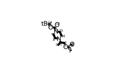 CC(COS(C)=O)N1CCN(C(=O)OC(C)(C)C)CC1